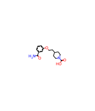 NC(=O)c1cccc(OCCC2CCN(C(=O)O)CC2)c1